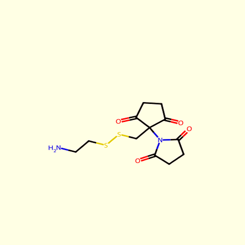 NCCSSCC1(N2C(=O)CCC2=O)C(=O)CCC1=O